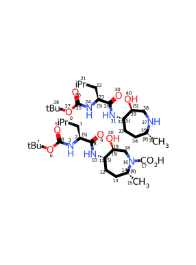 CC(C)C[C@H](NC(=O)OC(C)(C)C)C(=O)N[C@H]1CC[C@@H](C)N(C(=O)O)C[C@@H]1O.CC(C)C[C@H](NC(=O)OC(C)(C)C)C(=O)N[C@H]1CC[C@@H](C)NC[C@@H]1O